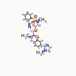 CN(Cc1ccc(C2=NCCN2C)cc1)C(=O)COCCN(C)S(=O)(=O)c1ccccc1C#N